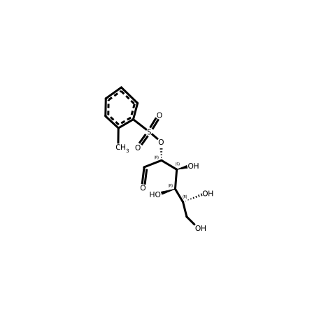 Cc1ccccc1S(=O)(=O)O[C@@H](C=O)[C@@H](O)[C@H](O)[C@H](O)CO